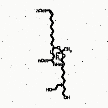 CCCCCCCC/C=C\CCCCCCCC(OCC(CCCCCC)CCCCCCCC)O[Si](C)(C)OCCCCCCN(CCO)CCO